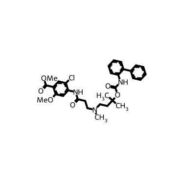 COC(=O)c1cc(Cl)c(NC(=O)CCN(C)CCC(C)(C)OC(=O)Nc2ccccc2-c2ccccc2)cc1OC